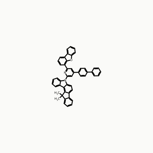 CC1(C)c2ccccc2-c2ccc3c(c21)c1ccccc1n3-c1cc(-c2ccc(-c3ccccc3)cc2)cc(-c2cccc3c2oc2ccccc23)n1